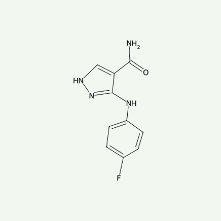 NC(=O)c1c[nH]nc1Nc1ccc(F)cc1